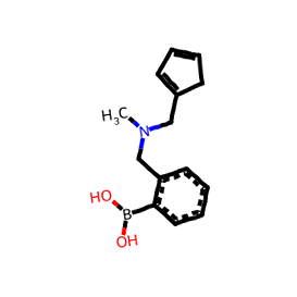 CN(CC1=CC=CC1)Cc1ccccc1B(O)O